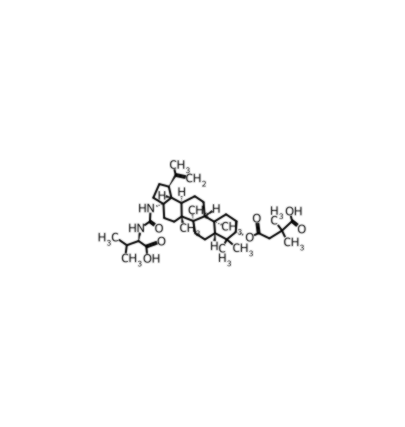 C=C(C)[C@@H]1CC[C@]2(NC(=O)N[C@@H](C(=O)O)C(C)C)CC[C@]3(C)[C@H](CC[C@@H]4[C@@]5(C)CC[C@H](OC(=O)CC(C)(C)C(=O)O)C(C)(C)[C@@H]5CC[C@]43C)[C@@H]12